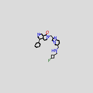 O=c1c2cncc(-c3ccccc3)c2ccn1Cc1cn2cc(CNCC3CC(F)C3)ccc2n1